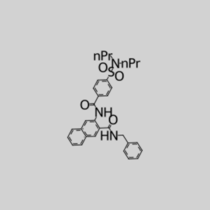 CCCN(CCC)S(=O)(=O)c1ccc(C(=O)Nc2cc3ccccc3cc2C(=O)NCc2ccccc2)cc1